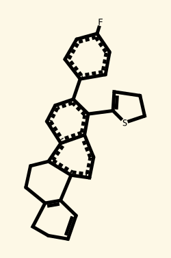 Fc1ccc(-c2ccc3c4c(ccc3c2C2=CCCS2)C2=C(CCC=C2)CC4)cc1